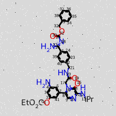 CCOC(=O)Oc1cc(N)cc(-c2cnc(NC(C)C)c(=O)n2CC(=O)NCc2ccc(/C(N)=N/C(=O)OCc3ccccc3)cc2)c1